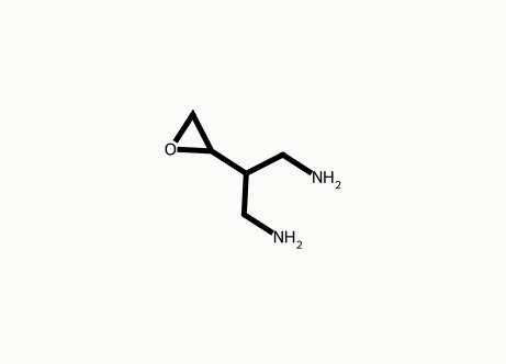 NCC(CN)C1CO1